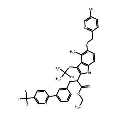 CCOC(=O)C(Cc1cccc(-c2ccc(C(F)(F)F)cn2)c1)c1[nH]c2ccc(OCc3ccc(C)cn3)c(C)c2c1SC(C)(C)C